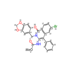 COC(=O)Nc1c(-c2ccccc2)c2cc(Br)ccc2c(=O)n1Cc1ccc2c(c1)OCO2